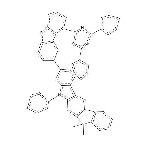 CC1(C)c2ccccc2-c2cc3c4ccc(-c5ccc6oc7cccc(-c8nc(-c9ccccc9)nc(-c9ccccc9)n8)c7c6c5)cc4n(-c4ccccc4)c3cc21